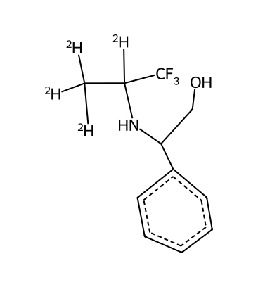 [2H]C([2H])([2H])C([2H])(NC(CO)c1ccccc1)C(F)(F)F